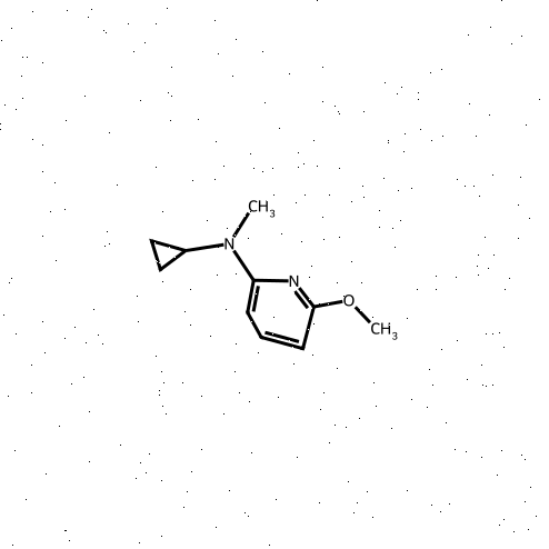 COc1cccc(N(C)C2CC2)n1